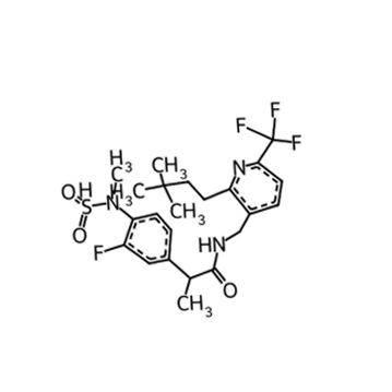 CC(C(=O)NCc1ccc(C(F)(F)F)nc1CCC(C)(C)C)c1ccc(N(C)[SH](=O)=O)c(F)c1